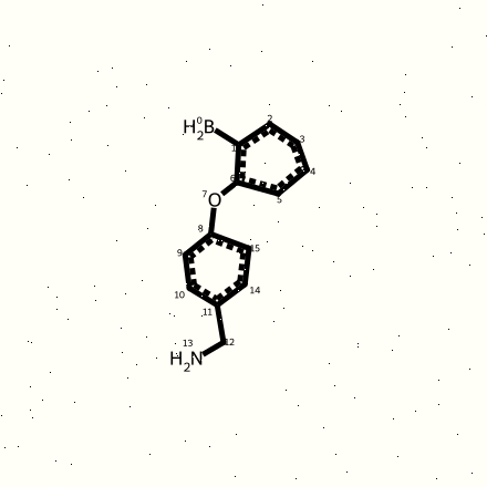 Bc1ccccc1Oc1ccc(CN)cc1